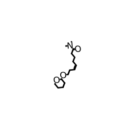 CN(C)C(=O)CCC/C=C\CCOC1CCCCO1